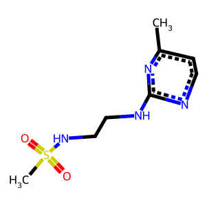 Cc1ccnc(NCCNS(C)(=O)=O)n1